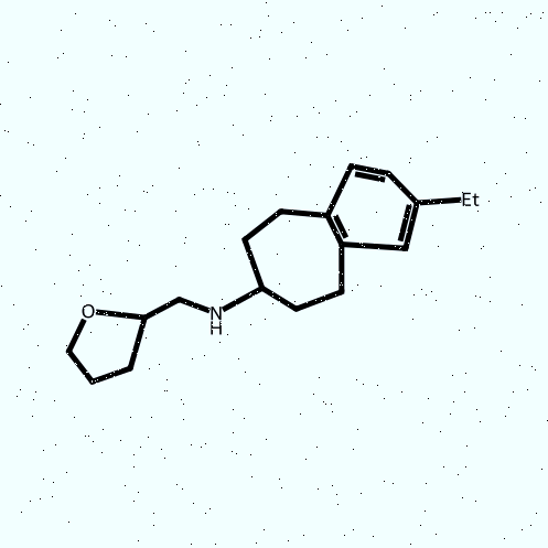 CCc1ccc2c(c1)CCC(NCC1CCCO1)CC2